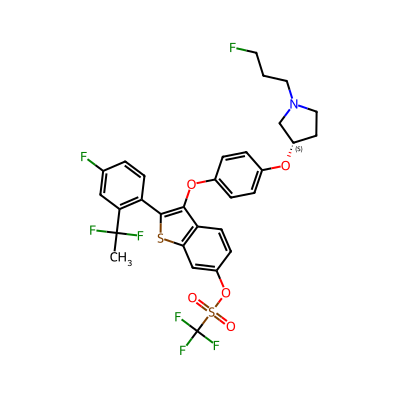 CC(F)(F)c1cc(F)ccc1-c1sc2cc(OS(=O)(=O)C(F)(F)F)ccc2c1Oc1ccc(O[C@H]2CCN(CCCF)C2)cc1